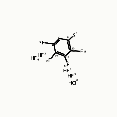 Cl.F.F.F.F.Fc1cc([S])c(F)c(F)c1F